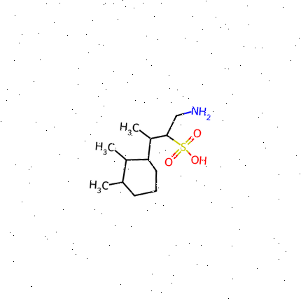 CC1CCCC(C(C)C(CN)S(=O)(=O)O)C1C